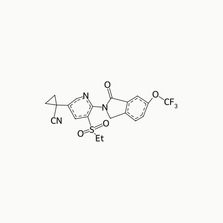 CCS(=O)(=O)c1cc(C2(C#N)CC2)cnc1N1Cc2ccc(OC(F)(F)F)cc2C1=O